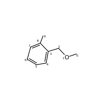 COCc1cc[c]cc1C